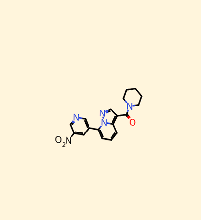 O=C(c1cnn2c(-c3cncc([N+](=O)[O-])c3)cccc12)N1CCCCC1